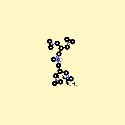 C=Cc1c(/C=C\C)c2ccccc2n1-c1cccc(-c2cc(-c3ccc(-n4c(=O)n(-c5ccc(-c6cc(-c7cccc(-n8c9ccccc9c9ccccc98)c7)cc(-c7cccc(-n8c9ccccc9c9ccccc98)c7)c6)cc5)c5ccccc54)cc3)cc(-c3cccc(-n4c5ccccc5c5ccccc54)c3)c2)c1